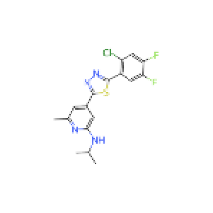 Cc1cc(-c2nnc(-c3cc(F)c(F)cc3Cl)s2)cc(NC(C)C)n1